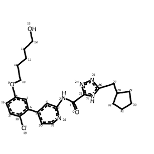 O=C(Nc1cc(-c2cc(OCCCCCO)ccc2Cl)ccn1)c1nnc(CC2CCCC2)[nH]1